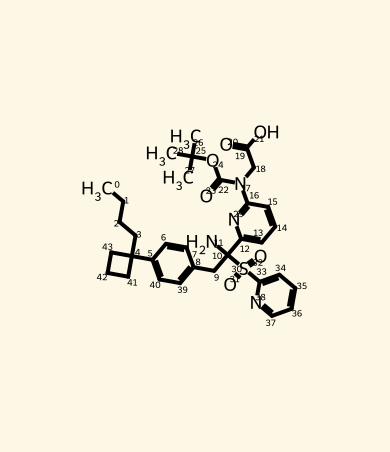 CCCCC1(c2ccc(CC(N)(c3cccc(N(CC(=O)O)C(=O)OC(C)(C)C)n3)S(=O)(=O)c3ccccn3)cc2)CCC1